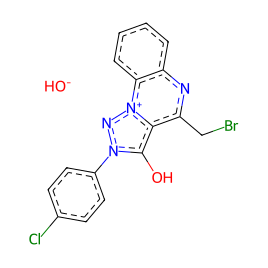 Oc1c2c(CBr)nc3ccccc3[n+]2nn1-c1ccc(Cl)cc1.[OH-]